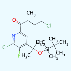 CC(CCCl)C(=O)c1cc(C(C)(C)O[Si](C)(C)C(C)(C)C)c(F)c(Cl)n1